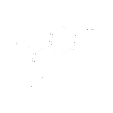 CC(=C1CCC1)c1ccc(C)cc1